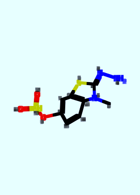 Cn1c(=NN)sc2cc(O[SH](=O)=O)ccc21